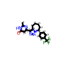 Cc1nc(-c2nnn3c2CCCC[C@H]3c2ccc(C(F)(F)F)cc2)cc(=O)[nH]1